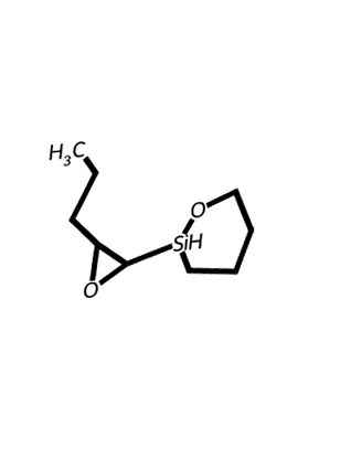 CCCC1OC1[SiH]1CCCCO1